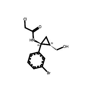 O=C(CCl)N[C@@]1(c2cccc(Br)c2)C[C@@H]1CO